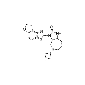 O=C1NC2CCCN(C3COC3)CC2N1c1nc2c3c(ccc2s1)OCC3